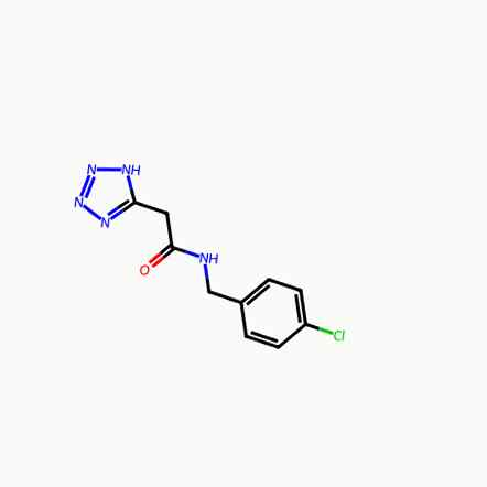 O=C(Cc1nnn[nH]1)NCc1ccc(Cl)cc1